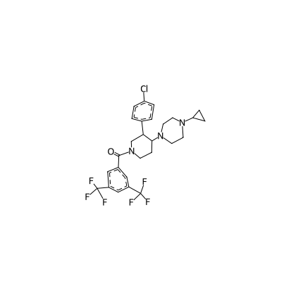 O=C(c1cc(C(F)(F)F)cc(C(F)(F)F)c1)N1CCC(N2CCN(C3CC3)CC2)C(c2ccc(Cl)cc2)C1